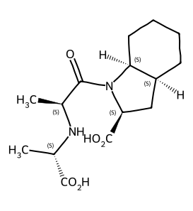 C[C@H](N[C@@H](C)C(=O)N1[C@H](C(=O)O)C[C@@H]2CCCC[C@@H]21)C(=O)O